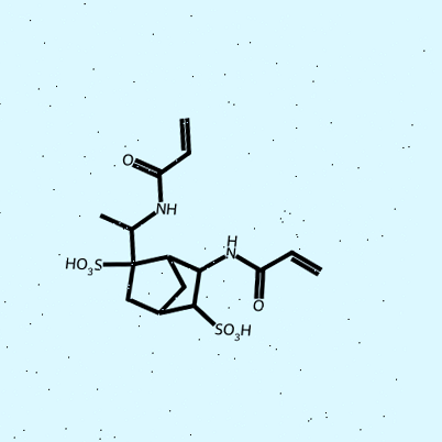 C=CC(=O)NC1C2CC(CC2(C(C)NC(=O)C=C)S(=O)(=O)O)C1S(=O)(=O)O